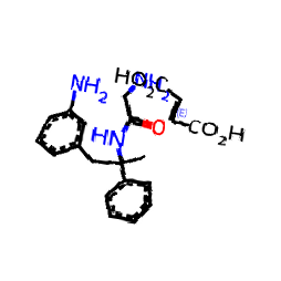 CC(Cc1cccc(N)c1)(NC(=O)CN)c1ccccc1.O=C(O)/C=C/C(=O)O